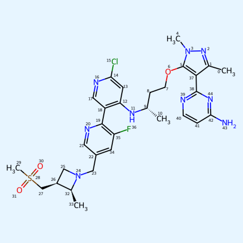 Cc1nn(C)c(OCC[C@H](C)Nc2cc(Cl)ncc2-c2ncc(CN3C[C@H](CS(C)(=O)=O)[C@@H]3C)cc2F)c1-c1nccc(N)n1